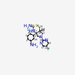 Nc1ccc(F)c([C@]23CN(c4ncc(F)cn4)C[C@H]2CSC(N)N3)c1